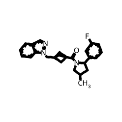 CC1CC(c2cccc(F)c2)N(C(=O)C23CC(Cn4ncc5ccccc54)(C2)C3)C1